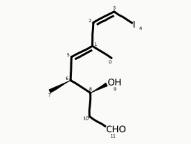 CC(/C=C\I)=C\[C@H](C)[C@@H](O)CC=O